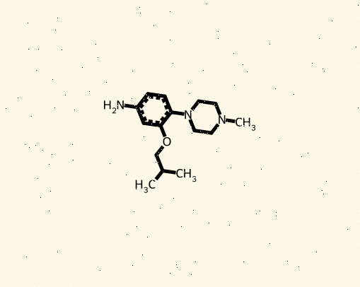 CC(C)COc1cc(N)ccc1N1CCN(C)CC1